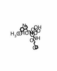 COc1ccc2nccc([C@@H](O)CN3CCC(NC(=O)/C=C/c4ccco4)CC3)c2c1.O=C(O)C(=O)O